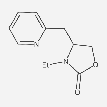 CCN1C(=O)OCC1Cc1ccccn1